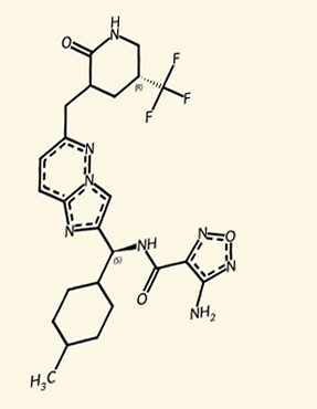 CC1CCC([C@H](NC(=O)c2nonc2N)c2cn3nc(CC4C[C@@H](C(F)(F)F)CNC4=O)ccc3n2)CC1